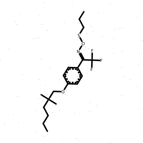 CCCCC(C)(C)COc1ccc(/C(=N/OSCCC)C(F)(F)F)cc1